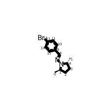 C[C@@H]1CC[C@@H](C)N1/N=C/c1ccc(Br)cc1